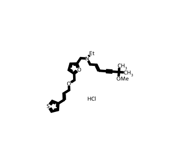 CCN(CC=CC#CC(C)(C)OC)Cc1ccc(COCC=Cc2ccsc2)o1.Cl